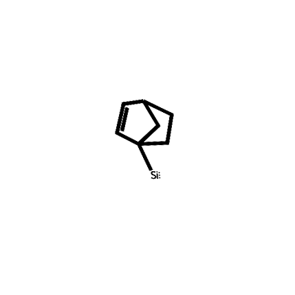 [Si]C12C=CC(CC1)C2